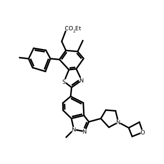 CCOC(=O)Cc1c(C)cc2nc(-c3ccc4c(c3)c(C3CCN(C5COC5)C3)nn4C)sc2c1-c1ccc(C)cc1